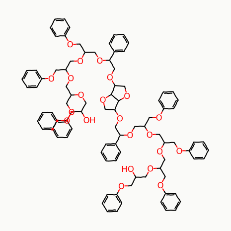 OC(COc1ccccc1)COC(COc1ccccc1)COC(COc1ccccc1)COC(COc1ccccc1)COC(COC1COC2C(OCC(OCC(COc3ccccc3)OCC(COc3ccccc3)OCC(COc3ccccc3)OCC(O)COc3ccccc3)c3ccccc3)COC12)c1ccccc1